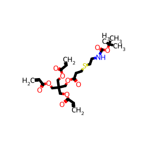 C=CC(=O)OCC(COC(=O)C=C)(COC(=O)C=C)COC(=O)CCSCCNC(=O)OC(C)(C)C